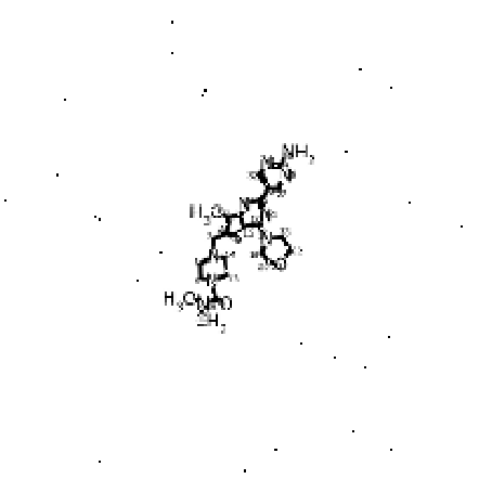 Cc1c(CN2CCN(C(=O)N(C)C)CC2)sc2c(N3CCOCC3)nc(-c3cnc(N)nc3)nc12